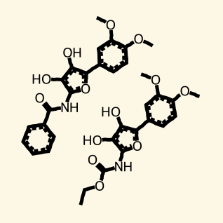 CCOC(=O)Nc1oc(-c2ccc(OC)c(OC)c2)c(O)c1O.COc1ccc(-c2oc(NC(=O)c3ccccc3)c(O)c2O)cc1OC